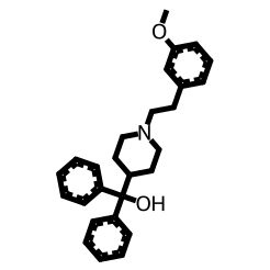 COc1cccc(CCN2CCC(C(O)(c3ccccc3)c3ccccc3)CC2)c1